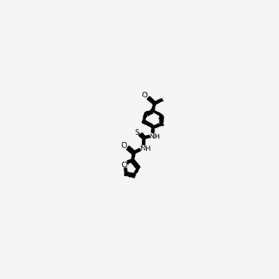 CC(=O)c1ccc(NC(=S)NC(=O)c2ccco2)cc1